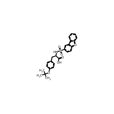 CC(C)(C)Oc1ccc(CC(NS(=O)(=O)c2ccc3oc4ccccc4c3c2)C(=O)O)cc1